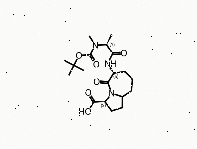 C[C@@H](C(=O)N[C@H]1CCCC2CC[C@@H](C(=O)O)N2C1=O)N(C)C(=O)OC(C)(C)C